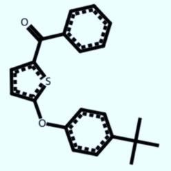 CC(C)(C)c1ccc(Oc2ccc(C(=O)c3ccccc3)s2)cc1